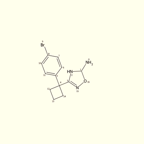 NC1NC(C2(c3ccc(Br)cc3)CCC2)=NO1